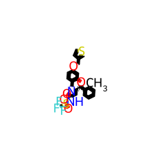 Cc1ccccc1[C@@H](CCC(=O)NS(=O)(=O)C(F)(F)F)Oc1cc(OCc2ccsc2)ccc1C#N